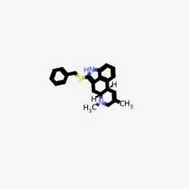 CC1=C[C@@H]2c3cccc4[nH]c(SCc5ccccc5)c(c34)C[C@H]2N(C)C1